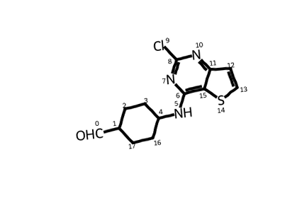 O=CC1CCC(Nc2nc(Cl)nc3ccsc23)CC1